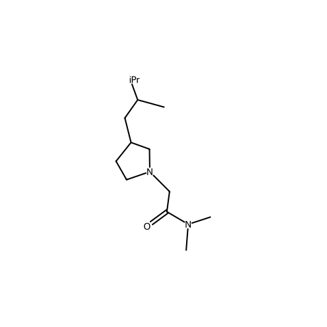 CC(C)C(C)CC1CCN(CC(=O)N(C)C)C1